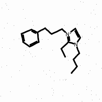 CCCCn1cc[n+](CCCc2ccccc2)c1CC